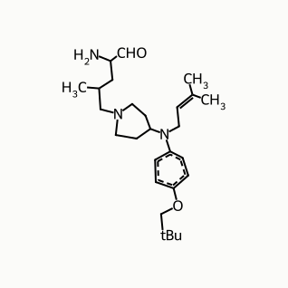 CC(C)=CCN(c1ccc(OCC(C)(C)C)cc1)C1CCN(CC(C)CC(N)C=O)CC1